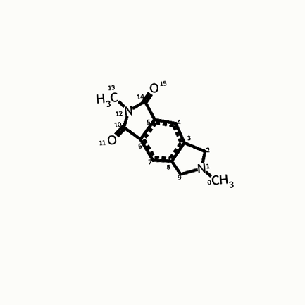 CN1Cc2cc3c(cc2C1)C(=O)N(C)C3=O